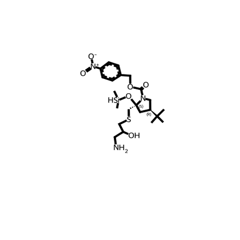 C[SiH](C)O[C@]1(CSCC(O)CN)C[C@H](C(C)(C)C)CN1C(=O)OCc1ccc([N+](=O)[O-])cc1